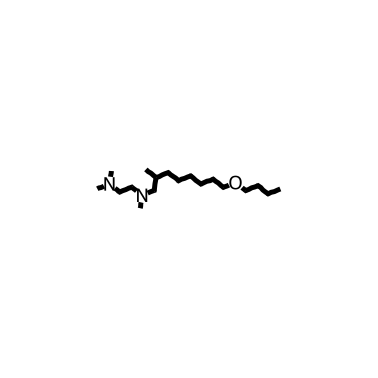 CCCCOCCCCCCC(C)CN(C)CCN(C)C